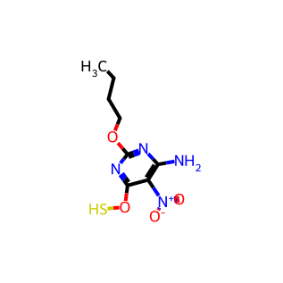 CCCCOc1nc(N)c([N+](=O)[O-])c(OS)n1